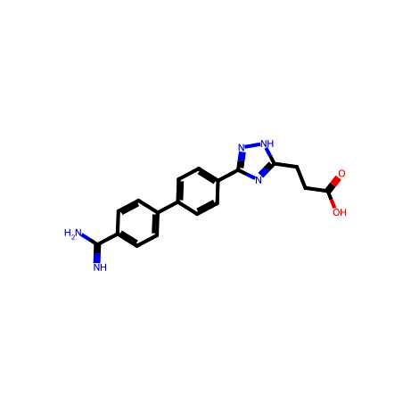 N=C(N)c1ccc(-c2ccc(-c3n[nH]c(CCC(=O)O)n3)cc2)cc1